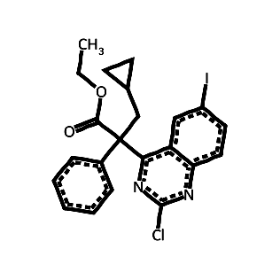 CCOC(=O)C(CC1CC1)(c1ccccc1)c1nc(Cl)nc2ccc(I)cc12